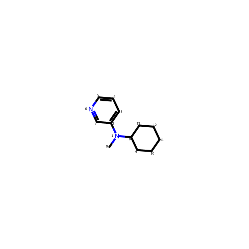 CN(c1cccnc1)C1CCCCC1